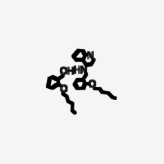 CCCCCCOc1ccccc1CNc1ccnc2ccccc12.CCCCCCOc1ccccc1CO